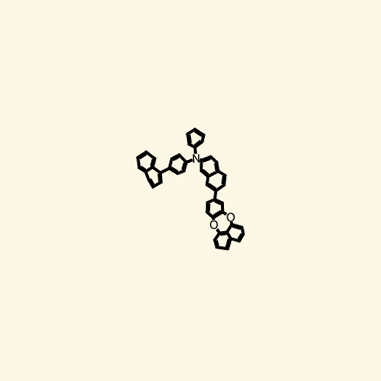 c1ccc(N(c2ccc(-c3cccc4ccccc34)cc2)c2ccc3ccc(-c4ccc5c(c4)Oc4cccc6cccc(c46)O5)cc3c2)cc1